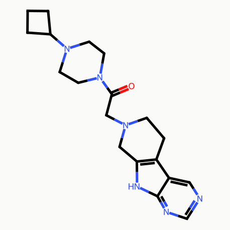 O=C(CN1CCc2c([nH]c3ncncc23)C1)N1CCN(C2CCC2)CC1